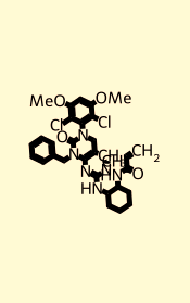 C=CC(=O)NC1CCCCC1N/C(N=C)=N/C1=C(C)CN(c2c(Cl)c(OC)cc(OC)c2Cl)C(=O)N1Cc1ccccc1